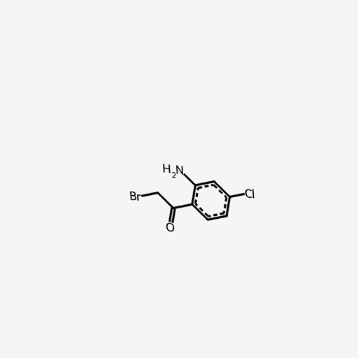 Nc1cc(Cl)ccc1C(=O)CBr